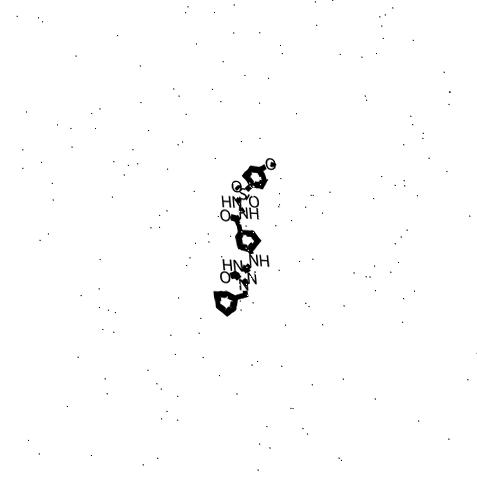 COc1ccc(S(=O)(=O)NNC(=O)c2ccc(Nc3nn(Cc4ccccc4)c(=O)[nH]3)cc2)cc1